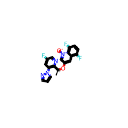 C[C@H](Oc1cc2c(F)ccc(F)c2[n+]([O-])c1)c1ncc(F)cc1-n1cccn1